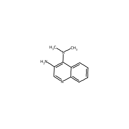 CN(C)c1c(N)cnc2ccccc12